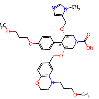 COCCCOc1ccc([C@@H]2[C@@H](OCc3ccc4c(c3)N(CCCOC)CCO4)CN(C(=O)O)C[C@H]2OCc2cncn2C)cc1